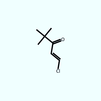 CC(C)(C)C(=O)C=CCl